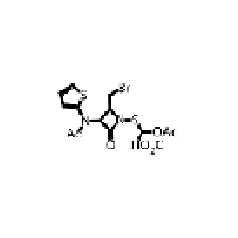 CC(=O)OC(SN1C(=O)C(N(C(C)=O)c2cccs2)C1CBr)C(=O)O